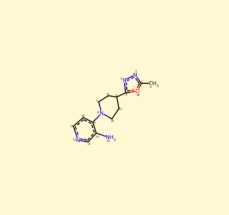 Cc1nnc(C2CCN(c3ccncc3N)CC2)o1